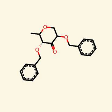 CC1OCC(OCc2ccccc2)C(=O)[C@@H]1OCc1ccccc1